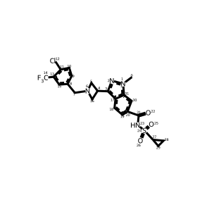 Cn1nc(C2CN(Cc3ccc(Cl)c(C(F)(F)F)c3)C2)c2ccc(C(=O)NS(=O)(=O)C3CC3)cc21